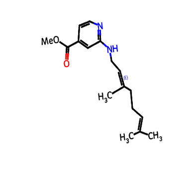 COC(=O)c1ccnc(NC/C=C(\C)CCC=C(C)C)c1